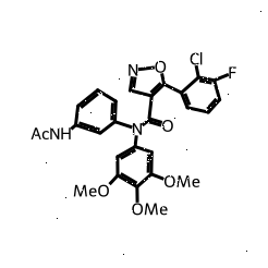 COc1cc(N(C(=O)c2cnoc2-c2cccc(F)c2Cl)c2cccc(NC(C)=O)c2)cc(OC)c1OC